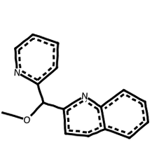 COC(c1ccccn1)c1ccc2ccccc2n1